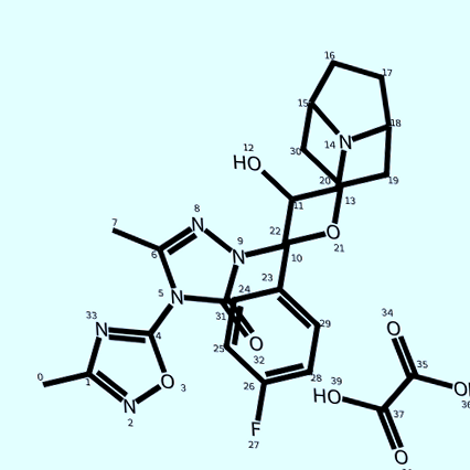 Cc1noc(-n2c(C)nn(CC(O)CN3C4CCC3CC(OCc3ccc(F)cc3)C4)c2=O)n1.O=C(O)C(=O)O